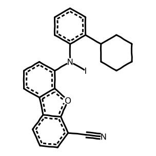 N#Cc1cccc2c1oc1c(N(I)c3ccccc3C3CCCCC3)cccc12